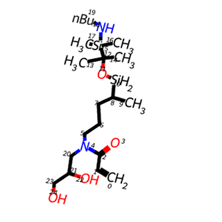 C=CC(=O)N(CCCC(C)[SiH2]OC(C)(C)[Si](C)(C)NCCCC)CC(O)CO